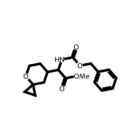 COC(=O)C(NC(=O)OCc1ccccc1)C1CCOC2(CC2)C1